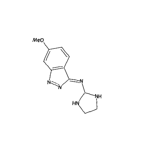 COc1ccc2c(c1)N=NC2=NC1NCCN1